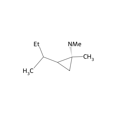 CCC(C)C1C[C@@]1(C)NC